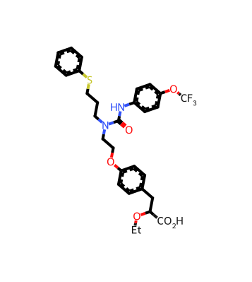 CCOC(Cc1ccc(OCCN(CCCSc2ccccc2)C(=O)Nc2ccc(OC(F)(F)F)cc2)cc1)C(=O)O